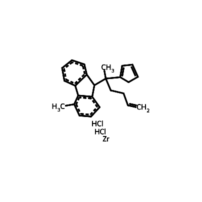 C=CCCC(C)(C1=CC=CC1)C1c2ccccc2-c2c(C)cccc21.Cl.Cl.[Zr]